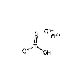 [O-2].[O]=[Ti]([O-])[OH].[Pr+3]